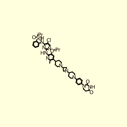 Cc1nc(Nc2ncc(Cl)c(Nc3ccccc3S(=O)(=O)C(C)C)n2)c(OC(C)C)cc1C1CCN(C2CN(C3CCN(c4ccc(N5CCC(=O)NC5=O)cc4)CC3)C2)CC1